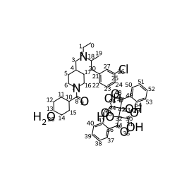 CCN(CC1CCN(C(=O)C2CCCCC2)CC1)C(C)Cc1cccc(Cl)c1.O.O=C(O)C(O)(C(=O)c1ccccc1)C(O)(C(=O)O)C(=O)c1ccccc1